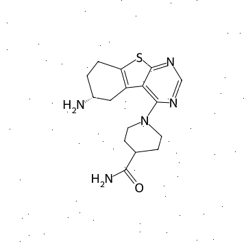 NC(=O)C1CCN(c2ncnc3sc4c(c23)C[C@H](N)CC4)CC1